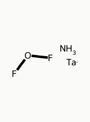 FOF.N.[Ta]